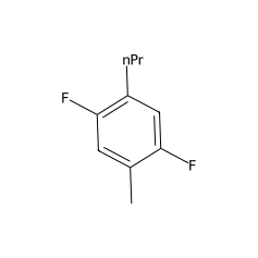 CCCc1cc(F)c(C)cc1F